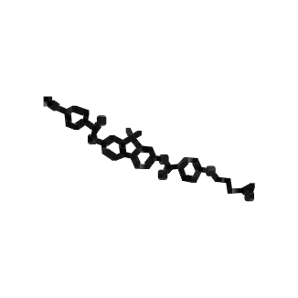 CC1(C)c2cc(OC(=O)c3ccc(C#N)cc3)ccc2-c2ccc(OC(=O)c3ccc(OCCCC4CO4)cc3)cc21